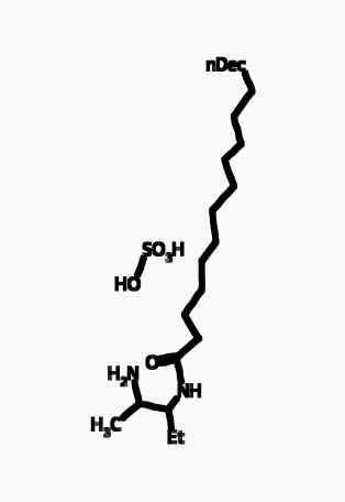 CCCCCCCCCCCCCCCCCCCCCC(=O)NC(CC)C(C)N.O=S(=O)(O)O